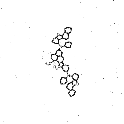 CC1(C)CCc2cc(N(c3ccccc3)c3cccc4oc5c6ccccc6ccc5c34)cc3cc4c(oc5cc(N(c6ccccc6)c6cccc7oc8c9ccccc9ccc8c67)ccc54)c1c23